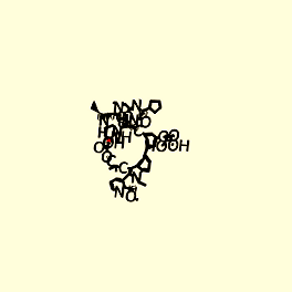 CCn1c(-c2cccnc2[C@H](C)OC)c2c3cc(ccc31)-c1cc(cc(OP(=O)(O)O)c1)C[C@H](NC(=O)[C@H](C1CCCC1)N(C)C(=O)CN(C)C(=O)[C@@H]1N[C@@H]1C1CC1)C(=O)N1CCC[C@@](O)(N1)C(=O)OCC(C)(C)C2